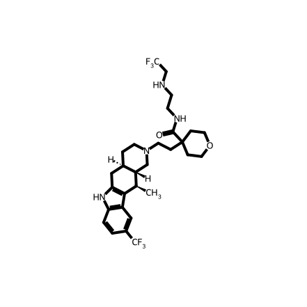 C[C@H]1c2c([nH]c3ccc(C(F)(F)F)cc23)C[C@H]2CCN(CCC3(C(=O)NCCNCC(F)(F)F)CCOCC3)C[C@@H]21